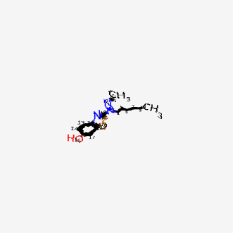 C/C=N/N(CCCCCC)c1nc2ccc(O)cc2s1